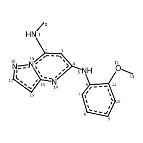 CNc1cc(Nc2ccccc2OC)nc2ccnn12